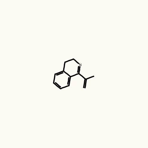 C=C(C)C1=NCCc2ccccc21